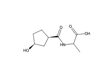 CC(NC(=O)[C@@H]1CC[C@H](O)C1)C(=O)O